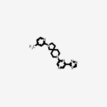 FC(F)(F)c1ccnc(N2CCC3(CCN(c4cncc(-c5nncs5)n4)CC3)C2)c1